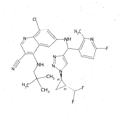 Cc1nc(F)ccc1C(Nc1cc(Cl)c2ncc(C#N)c(NCC(C)(C)C)c2c1)c1cn([C@@H]2C[C@H]2C(F)F)nn1